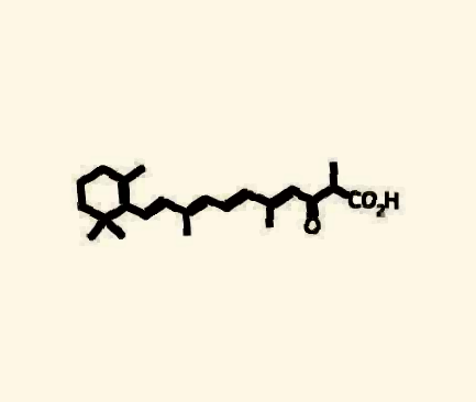 CC1=C(/C=C/C(C)=C/C=C/C(C)=C/C(=O)C(C)C(=O)O)C(C)(C)CCC1